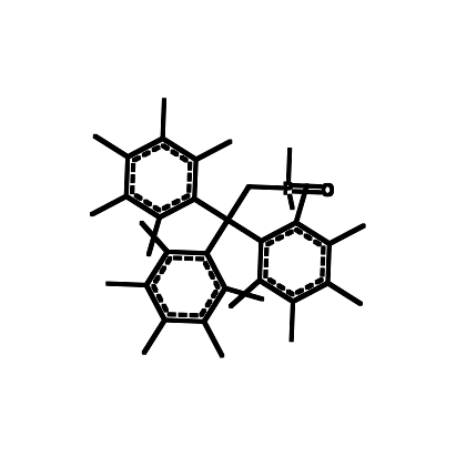 Cc1c(C)c(C)c(C(CP(C)(C)=O)(c2c(C)c(C)c(C)c(C)c2C)c2c(C)c(C)c(C)c(C)c2C)c(C)c1C